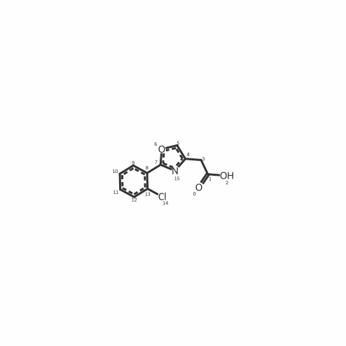 O=C(O)Cc1coc(-c2ccccc2Cl)n1